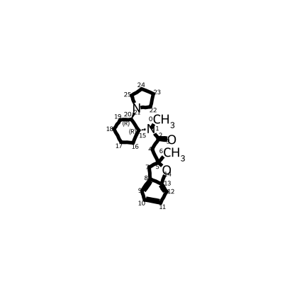 CN(C(=O)CC1(C)Cc2ccccc2O1)[C@@H]1CCCC[C@H]1N1CCCC1